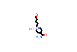 Cl.NC(=O)C1CCN(CCCCC=O)CC1